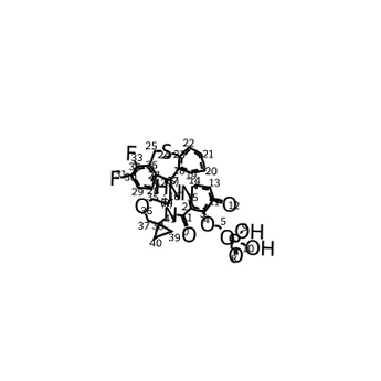 O=C1c2c(OCOP(=O)(O)O)c(=O)ccn2N([C@@H]2c3ccccc3SCc3c2ccc(F)c3F)[C@@H]2COCC3(CC3)N12